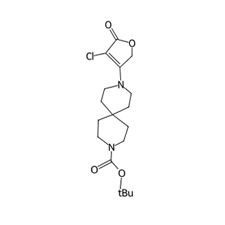 CC(C)(C)OC(=O)N1CCC2(CC1)CCN(C1=C(Cl)C(=O)OC1)CC2